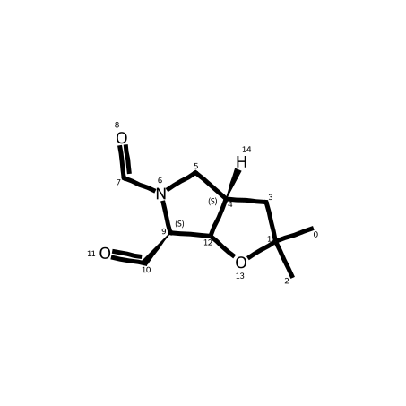 CC1(C)C[C@H]2CN(C=O)[C@H](C=O)C2O1